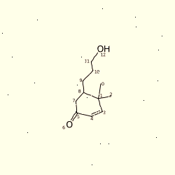 CC1(C)C=CC(=O)CC1CCCO